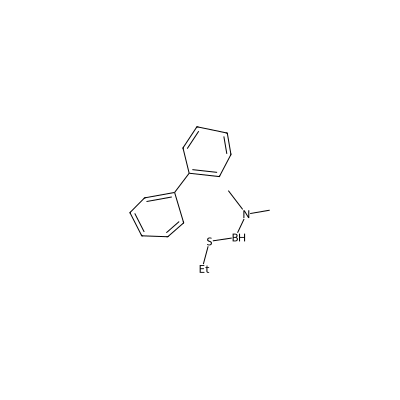 CCSBN(C)C.c1ccc(-c2ccccc2)cc1